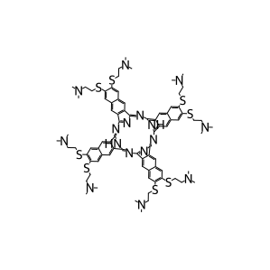 CN(C)CCSc1cc2cc3c(cc2cc1SCCN(C)C)-c1nc-3nc2[nH]c(nc3nc(nc4[nH]c(n1)c1cc5cc(SCCN(C)C)c(SCCN(C)C)cc5cc41)-c1cc4cc(SCCN(C)C)c(SCCN(C)C)cc4cc1-3)c1cc3cc(SCCN(C)C)c(SCCN(C)C)cc3cc21